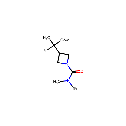 COC(C)(C(C)C)C1CN(C(=O)N(C)C(C)C)C1